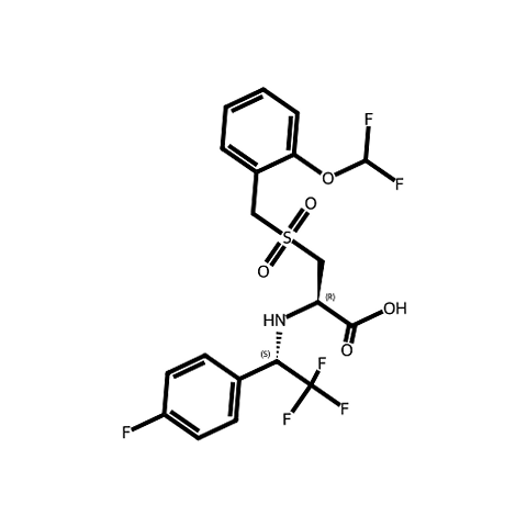 O=C(O)[C@H](CS(=O)(=O)Cc1ccccc1OC(F)F)N[C@@H](c1ccc(F)cc1)C(F)(F)F